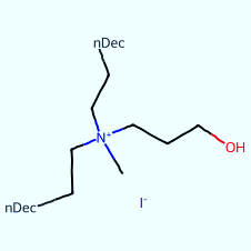 CCCCCCCCCCCC[N+](C)(CCCO)CCCCCCCCCCCC.[I-]